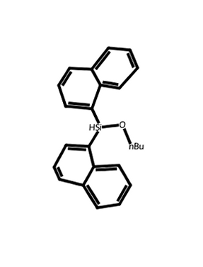 CCCCO[SiH](c1cccc2ccccc12)c1cccc2ccccc12